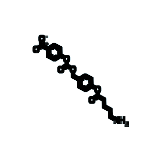 NCCCCC(=O)Oc1ccc(COC(=O)Oc2ccc([N+](=O)[O-])cc2)cc1